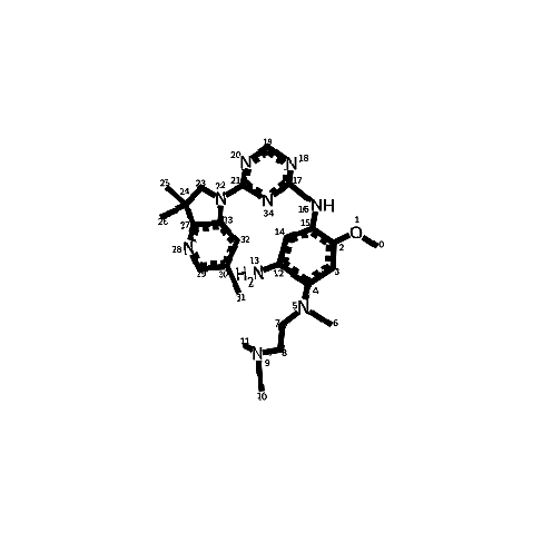 COc1cc(N(C)CCN(C)C)c(N)cc1Nc1ncnc(N2CC(C)(C)c3ncc(C)cc32)n1